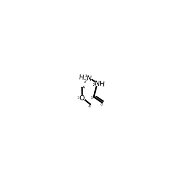 C=CNN.COC